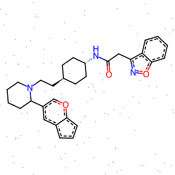 O=C(Cc1noc2ccccc12)N[C@H]1CC[C@H](CCN2CCCCC2c2coc3cccc-3c2)CC1